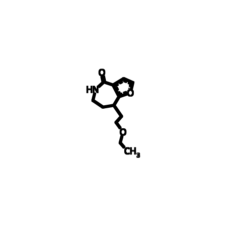 CCOCCC1CCNC(=O)c2ccoc21